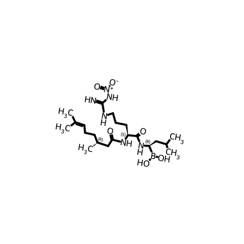 CC(C)=CCC[C@@H](C)CC(=O)N[C@@H](CCCNC(=N)N[N+](=O)[O-])C(=O)N[C@@H](CC(C)C)B(O)O